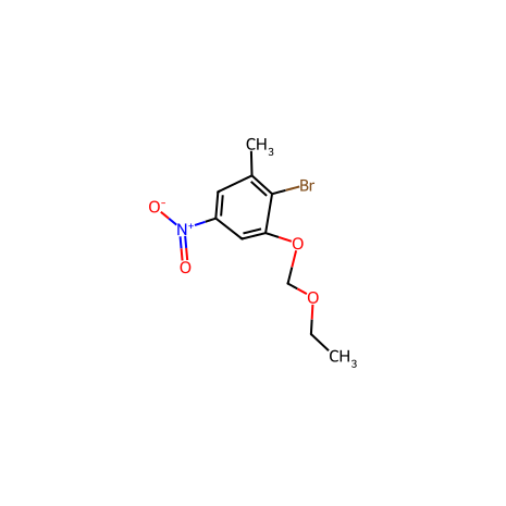 CCOCOc1cc([N+](=O)[O-])cc(C)c1Br